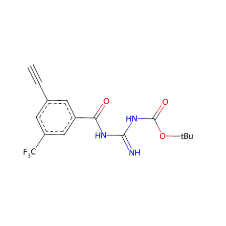 C#Cc1cc(C(=O)NC(=N)NC(=O)OC(C)(C)C)cc(C(F)(F)F)c1